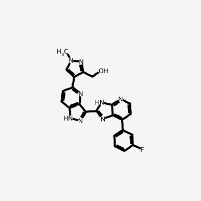 Cn1cc(-c2ccc3[nH]nc(-c4nc5c(-c6cccc(F)c6)ccnc5[nH]4)c3n2)c(CO)n1